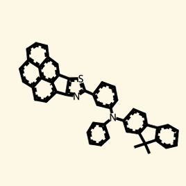 CC1(C)c2ccccc2-c2ccc(N(c3ccccc3)c3cccc(-c4nc5c(s4)-c4cc6cccc7ccc8ccc-5c4c8c76)c3)cc21